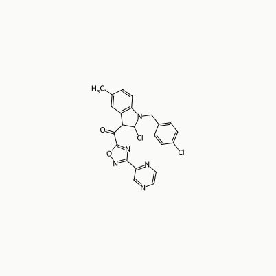 Cc1ccc2c(c1)C(C(=O)c1nc(-c3cnccn3)no1)C(Cl)N2Cc1ccc(Cl)cc1